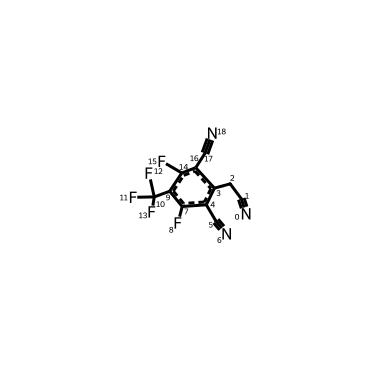 N#CCc1c(C#N)c(F)c(C(F)(F)F)c(F)c1C#N